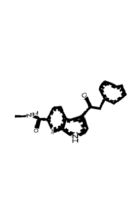 CNC(=O)c1ccc2c(C(=O)Cc3ccccc3)c[nH]c2n1